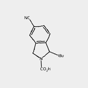 CC(C)(C)C1c2ccc(C#N)cc2CN1C(=O)O